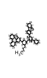 CCCCc1cc(-c2cc3sc4cccc5c6ccccc6c(c2)c3c45)cc(-c2nc(-c3ccccc3)cc(-c3ccc4c(c3)oc3ccccc34)n2)c1